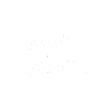 CCn1nc(C)cc1C(=O)Nc1nc2cc(C(N)=O)cc(OCCCNC(=O)CCC(=O)OC)c2n1C/C=C/Cn1c2c(c3cc(C(N)=O)cc(OCCCOC)c31)C=NC(c1cc(C)nn1CC)N2